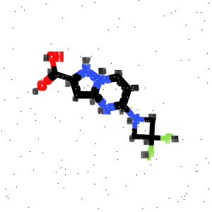 O=C(O)c1cc2nc(N3CC(F)(F)C3)ccn2n1